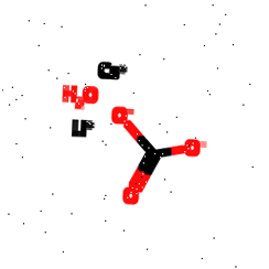 O.O=C([O-])[O-].[Cs+].[Li+]